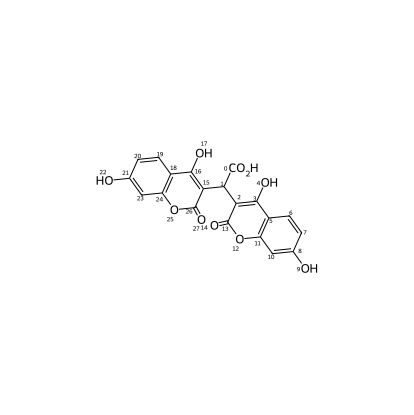 O=C(O)C(c1c(O)c2ccc(O)cc2oc1=O)c1c(O)c2ccc(O)cc2oc1=O